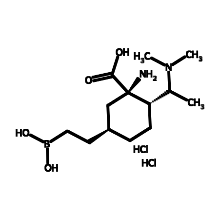 CC([C@@H]1CC[C@@H](CCB(O)O)C[C@]1(N)C(=O)O)N(C)C.Cl.Cl